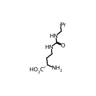 CC(C)CNC(=O)NCC[C@H](N)C(=O)O